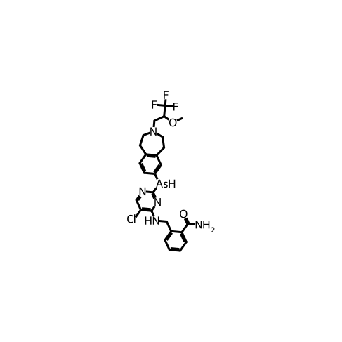 COC(CN1CCc2ccc([AsH]c3ncc(Cl)c(NCc4ccccc4C(N)=O)n3)cc2CC1)C(F)(F)F